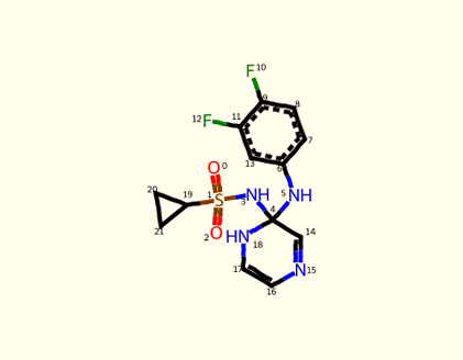 O=S(=O)(NC1(Nc2ccc(F)c(F)c2)C=NC=CN1)C1CC1